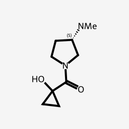 CN[C@H]1CCN(C(=O)C2(O)CC2)C1